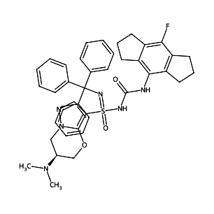 CN(C)[C@@H]1COc2c(S(=O)(=NC(c3ccccc3)(c3ccccc3)c3ccccc3)NC(=O)Nc3c4c(c(F)c5c3CCC5)CCC4)cnn2C1